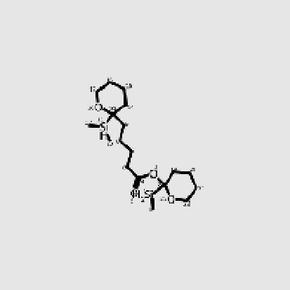 C[SiH2]C1(OC(=O)CCCCC2([SiH](C)C)CCCCO2)CCCCO1